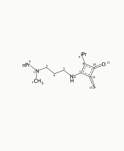 CCCN(C)CCCNc1c(C(C)C)c(=O)c1=S